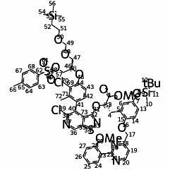 COC(=O)[C@H](Cc1cc(O[Si](C)(C)C(C)(C)C)ccc1OCc1ccnc(-c2ccccc2OC)n1)Oc1nsc2cnc(Cl)c(-c3ccc(O[C@H](COCOCC[Si](C)(C)C)COS(=O)(=O)c4ccc(C)cc4)c(Cl)c3C)c12